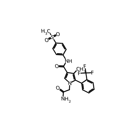 Cc1c(C(=O)Nc2ccc(S(C)(=O)=O)cc2)cn(CC(N)=O)c1-c1ccccc1C(F)(F)F